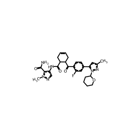 Cc1cc(-c2ccc(C(=O)C3CC=CCC3C(=O)Nc3cnn(C)c3C(N)=O)c(F)c2)n(C2CCCCO2)n1